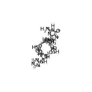 C[C@H]1[C@H]2OP(=O)(S)OC[C@H]3C[C@@H](Nc4ncncn4)C[C@@H]3OP(=O)(S)OC[C@H]1O[C@H]2n1cnc2c(=O)[nH]c(N)nc21